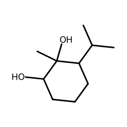 CC(C)C1CCCC(O)C1(C)O